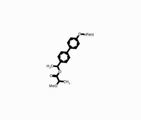 CCCCCOc1ccc(-c2ccc(C(C)OC(=O)C(C)OC)cc2)cc1